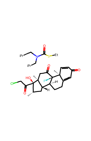 CCSC(=O)N(CC(C)C)CC(C)C.C[C@H]1C[C@H]2[C@@H]3CCC4=CC(=O)C=C[C@]4(C)[C@@]3(F)C(=O)C[C@]2(C)[C@@]1(O)C(=O)CCl